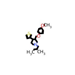 CCC(C)CN1CCC(c2ccsc2)C(COc2ccc(OC)cc2)C1